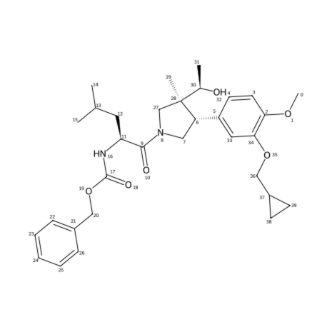 COc1ccc([C@@H]2CN(C(=O)[C@H](CC(C)C)NC(=O)OCc3ccccc3)C[C@@]2(C)[C@@H](C)O)cc1OCC1CC1